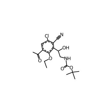 CCOc1c(C(C)=O)cc(Cl)c(C#N)c1C(O)CNC(=O)OC(C)(C)C